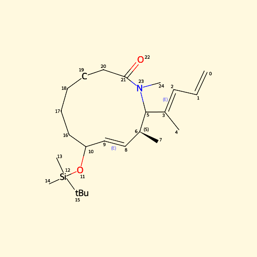 C=C/C=C(\C)C1[C@@H](C)/C=C/C(O[Si](C)(C)C(C)(C)C)CCCCCC(=O)N1C